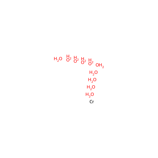 O.O.O.O.O.O.O.O.O.O.[Cr]